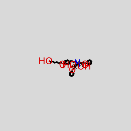 OCCCCCCOc1ccc(CCCN(C[C@H](O)COc2ccccc2)C[C@H](O)COc2ccccc2)cc1